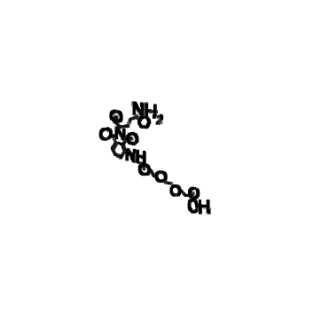 NC(=O)CCC(C=O)N1C(=O)c2cccc(NCCOCCOCCOCCC(=O)O)c2C1=O